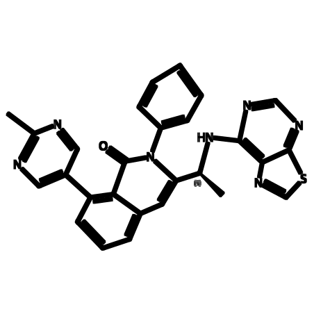 Cc1ncc(-c2cccc3cc([C@H](C)Nc4ncnc5scnc45)n(-c4ccccc4)c(=O)c23)cn1